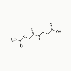 CC(=O)SCC(=O)NCCC(=O)O